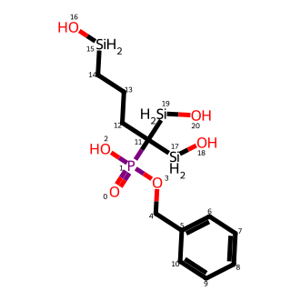 O=P(O)(OCc1ccccc1)C(CCC[SiH2]O)([SiH2]O)[SiH2]O